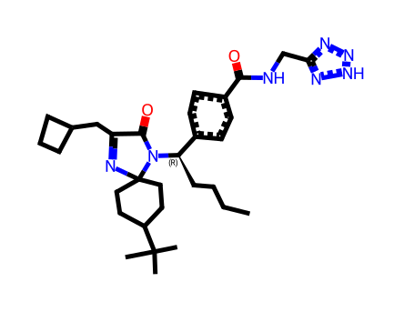 CCCC[C@H](c1ccc(C(=O)NCc2nn[nH]n2)cc1)N1C(=O)C(CC2CCC2)=NC12CCC(C(C)(C)C)CC2